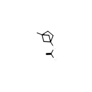 CC(C)C12CCC(NC(=O)C(C)(C)C)(C1)C2